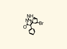 Nc1nc(=O)c(-c2ccccc2)c2cc(Br)ccn12